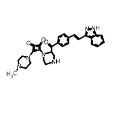 CN1CCN(c2c(N3CCNCC3C(=O)c3ccc(/C=C/c4n[nH]c5ccccc45)cc3)c(=O)c2=O)CC1